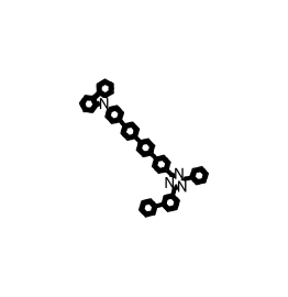 c1ccc(-c2cccc(-c3nc(-c4ccccc4)nc(-c4ccc(-c5ccc(-c6ccc(-c7ccc(-n8c9ccccc9c9ccccc98)cc7)cc6)cc5)cc4)n3)c2)cc1